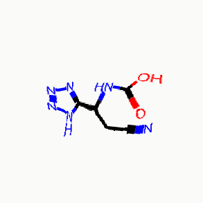 N#CCC(NC(=O)O)c1nnn[nH]1